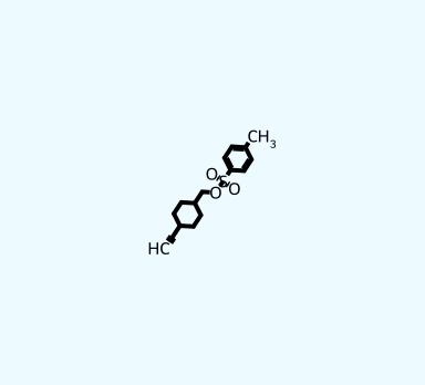 C#CC1CCC(COS(=O)(=O)c2ccc(C)cc2)CC1